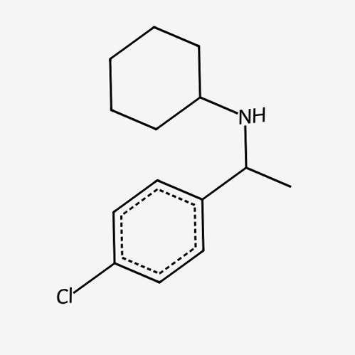 CC(NC1CCCCC1)c1ccc(Cl)cc1